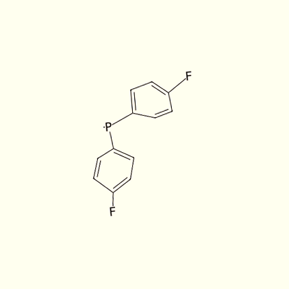 Fc1ccc([P]c2ccc(F)cc2)cc1